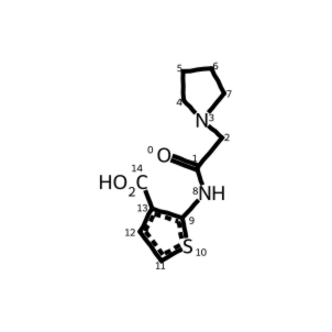 O=C(CN1CCCC1)Nc1sccc1C(=O)O